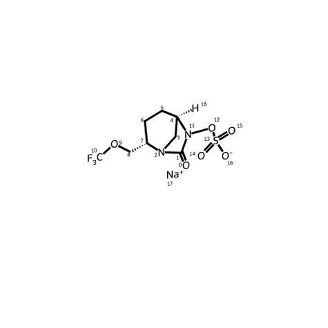 O=C1N2C[C@@H](CC[C@H]2COC(F)(F)F)N1OS(=O)(=O)[O-].[Na+]